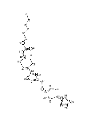 CCCCCCOC(=O)ON1CCC(c2nc(COc3ccc(-n4cnnn4)cc3)cs2)CC1